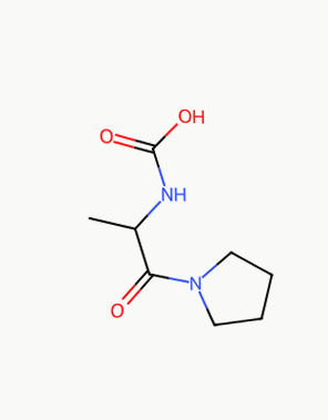 CC(NC(=O)O)C(=O)N1CCCC1